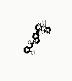 Cn1nccc1Nc1nccc(-c2ccc3c(ccn3C(=O)Cc3ccccc3Cl)c2)n1